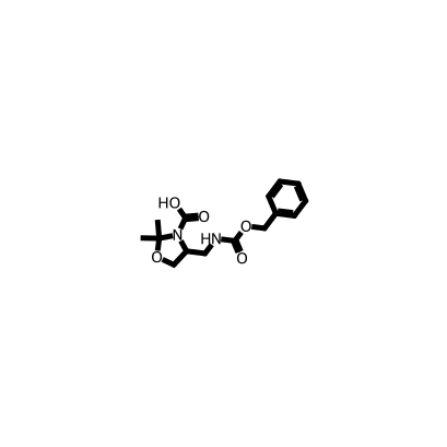 CC1(C)OCC(CNC(=O)OCc2ccccc2)N1C(=O)O